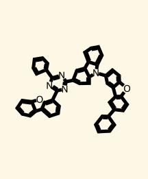 c1ccc(-c2ccc3oc4ccc(-n5c6ccccc6c6cc(-c7nc(-c8ccccc8)nc(-c8cccc9c8oc8ccccc89)n7)ccc65)cc4c3c2)cc1